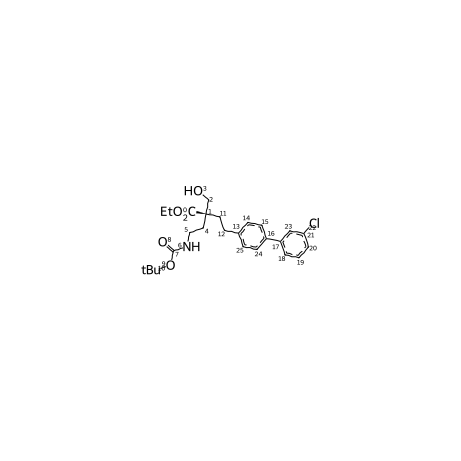 CCOC(=O)[C@](CO)(CCNC(=O)OC(C)(C)C)CCc1ccc(-c2cccc(Cl)c2)cc1